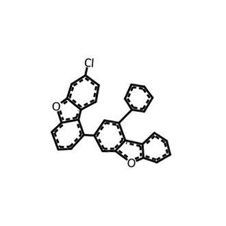 Clc1ccc2c(c1)oc1cccc(-c3cc(-c4ccccc4)c4c(c3)oc3ccccc34)c12